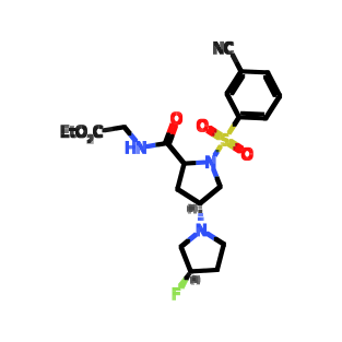 CCOC(=O)CNC(=O)C1C[C@@H](N2CC[C@@H](F)C2)CN1S(=O)(=O)c1cccc(C#N)c1